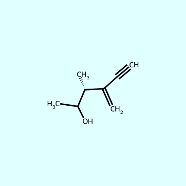 C#CC(=C)[C@@H](C)C(C)O